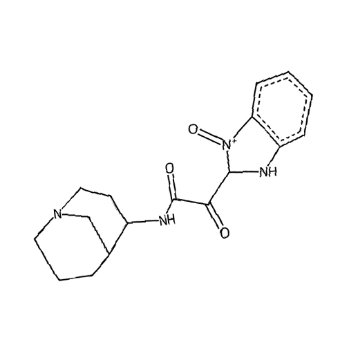 O=C(NC1CCN2CCCC1C2)C(=O)C1Nc2ccccc2[N+]1=O